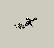 Cn1nc(-c2ccc(OCc3ccccc3)nc2OCc2ccccc2)c2cccc(N3CCC(CN4CCN(C(=O)OC(C)(C)C)CC4)C(F)(F)C3)c21